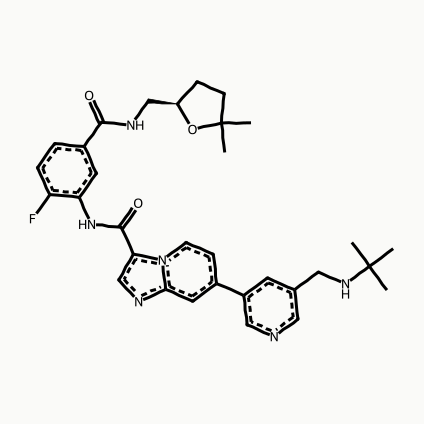 CC(C)(C)NCc1cncc(-c2ccn3c(C(=O)Nc4cc(C(=O)NC[C@H]5CCC(C)(C)O5)ccc4F)cnc3c2)c1